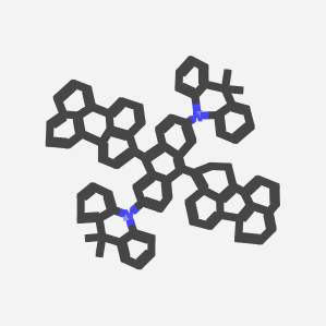 CC1(C)c2ccccc2N(c2ccc3c(-c4ccc5c6cccc7cccc(c8cccc4c85)c76)c4cc(N5c6ccccc6C(C)(C)c6ccccc65)ccc4c(C4=c5cccc6c5c(c5cccc7cccc6c75)CC4)c3c2)c2ccccc21